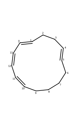 [C]1=C\CC/C=C/CCCC\C=C/C=C\1